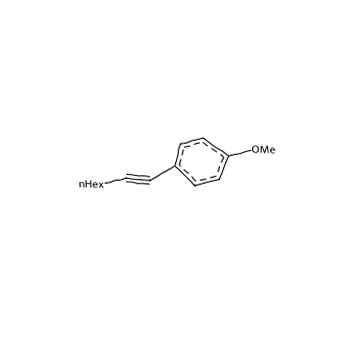 CCCCCCC#Cc1ccc(OC)cc1